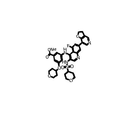 COC(=O)c1cc(Nc2c(NS(=O)(=O)C3CCOCC3)cnc3cc(-c4cncc5c4OCC5)cc(F)c23)cc(OC2CCOCC2)c1